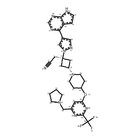 N#CC[C@]1(n2cc(-c3ncnc4[nH]ccc34)cn2)C[C@H](N2CCC(Oc3cc(CN4CCCC4)nc(C(F)(F)F)n3)CC2)C1